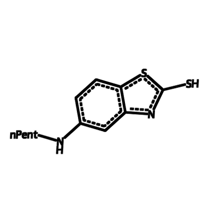 CCCCCNc1ccc2sc(S)nc2c1